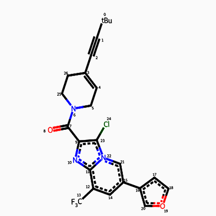 CC(C)(C)C#CC1=CCN(C(=O)c2nc3c(C(F)(F)F)cc(-c4ccoc4)cn3c2Cl)CC1